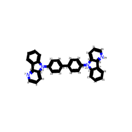 c1ccc2c(c1)c1ncccc1n2-c1ccc(-c2ccc(-n3c4ccccc4c4ncccc43)cc2)cc1